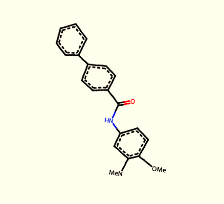 CNc1cc(NC(=O)c2ccc(-c3ccccc3)cc2)ccc1OC